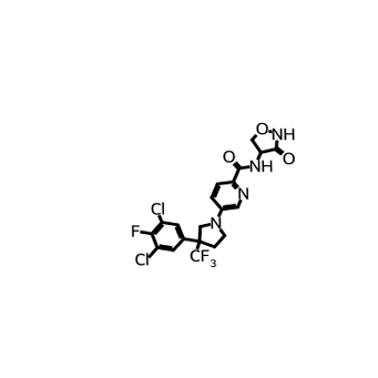 O=C(NC1CONC1=O)c1ccc(N2CCC(c3cc(Cl)c(F)c(Cl)c3)(C(F)(F)F)C2)cn1